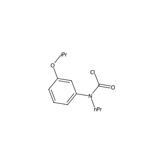 CCCN(C(=O)Cl)c1cccc(OC(C)C)c1